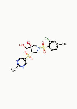 N#Cc1ccc(S(=O)(=O)N2C[C@H](S(=O)(=O)c3cnc(C(F)(F)F)nc3)[C@](O)(CO)C2)c(Cl)c1